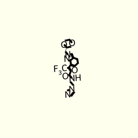 O=C(NCCn1ccnc1)c1oc2c(c1C(F)(F)F)-c1nn(C[C@H]3COCCO3)cc1CC2